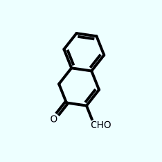 O=CC1=Cc2ccccc2CC1=O